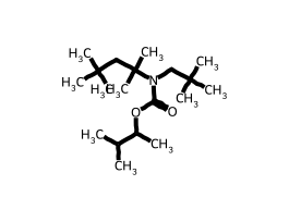 CC(C)C(C)OC(=O)N(CC(C)(C)C)C(C)(C)CC(C)(C)C